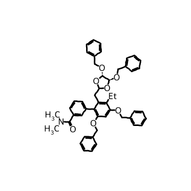 CCc1c(OCc2ccccc2)cc(OCc2ccccc2)c(-c2cccc(C(=O)N(C)C)c2)c1CC1O[C@H](OCc2ccccc2)[C@@H](OCc2ccccc2)O1